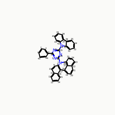 c1ccc(-c2nc(N3c4ccc5ccccc5c4-c4cccc5cccc3c45)nc(-n3c4ccccc4c4ccccc43)n2)cc1